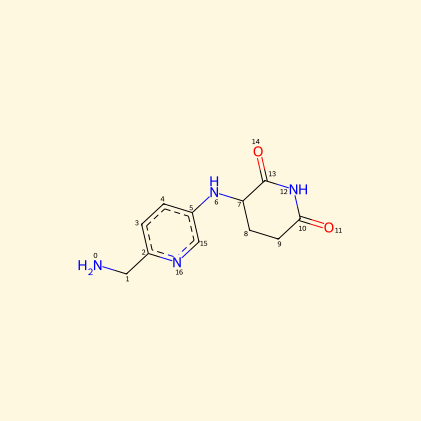 NCc1ccc(NC2CCC(=O)NC2=O)cn1